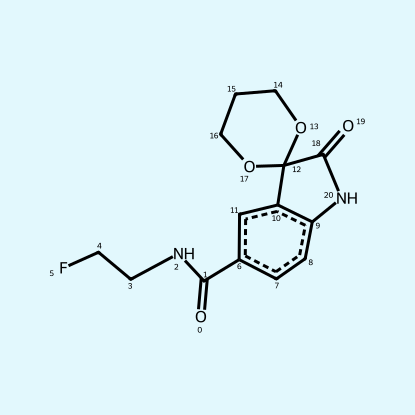 O=C(NCCF)c1ccc2c(c1)C1(OCCCO1)C(=O)N2